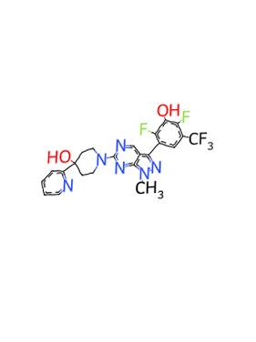 Cn1nc(-c2cc(C(F)(F)F)c(F)c(O)c2F)c2cnc(N3CCC(O)(c4ccccn4)CC3)nc21